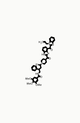 C=CCn1c(C(=O)c2cccc3[nH]c(C(=O)C4CCN(C(CC)CC(CNC(=O)c5cc(OC)c(OC)c(OC)c5)c5ccccc5)CC4)nc23)nc2ccccc21